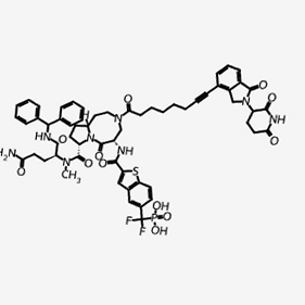 CN(C(=O)[C@@H]1CC[C@@H]2CCN(C(=O)CCCCCC#Cc3cccc4c3CN(C3CCC(=O)NC3=O)C4=O)C[C@H](NC(=O)c3cc4cc(C(F)(F)P(=O)(O)O)ccc4s3)C(=O)N21)[C@@H](CCC(N)=O)C(=O)NC(c1ccccc1)c1ccccc1